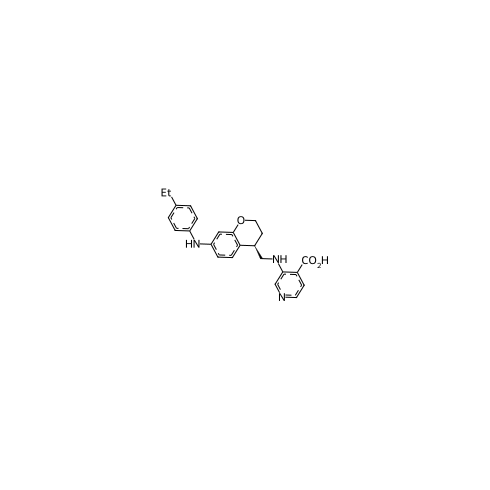 CCc1ccc(Nc2ccc3c(c2)OCC[C@H]3CNc2cnccc2C(=O)O)cc1